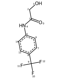 O=C(CO)Nc1ccc(C(F)(F)F)cc1